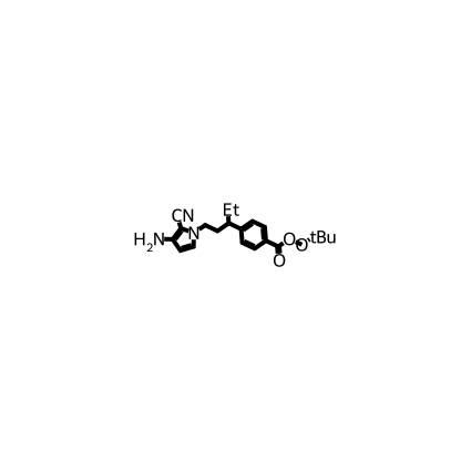 CCC(CCn1ccc(N)c1C#N)c1ccc(C(=O)OOC(C)(C)C)cc1